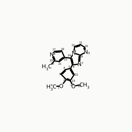 COc1ccc(-c2nc3ncccn3c2-c2ccnc(C)c2)cc1OC